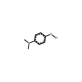 [CH2]COc1ccc(N(C)C)cc1